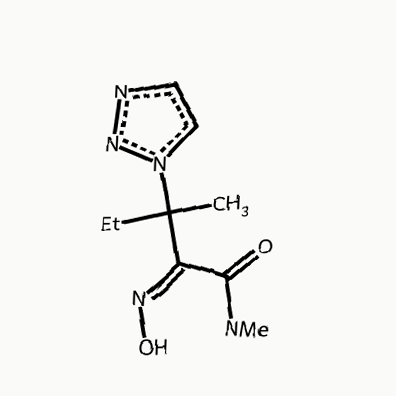 CCC(C)(C(=NO)C(=O)NC)n1ccnn1